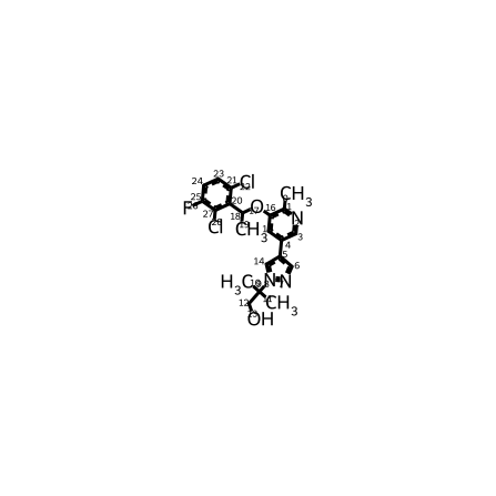 Cc1ncc(-c2cnn(C(C)(C)CO)c2)cc1OC(C)c1c(Cl)ccc(F)c1Cl